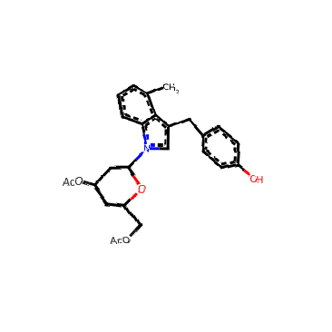 CC(=O)OCC1CC(OC(C)=O)CC(n2cc(Cc3ccc(O)cc3)c3c(C)cccc32)O1